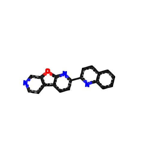 c1ccc2nc(-c3ccc4c(n3)oc3cnccc34)ccc2c1